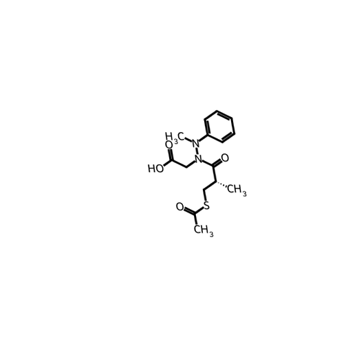 CC(=O)SC[C@@H](C)C(=O)N(CC(=O)O)N(C)c1ccccc1